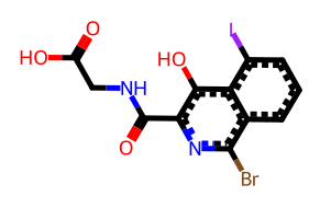 O=C(O)CNC(=O)c1nc(Br)c2cccc(I)c2c1O